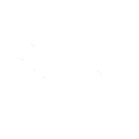 CC(Oc1ccc(Oc2ncc(Cl)cc2F)cc1)C(=O)Nc1ccc([N+](=O)[O-])c(N)n1